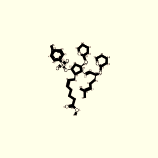 COC(=O)CCC/C=C\C[C@@H]1[C@@H](/C=C/[C@H](CCC=C(C)C)OC2CCCCO2)[C@H](OC2CCCCO2)C[C@H]1OS(=O)(=O)c1ccc(C)cc1